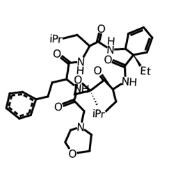 CC[C@]1(C(=O)NC(CC(C)C)C(=O)[C@@]2(C)CO2)C=CC=CC1NC(=O)C(CC(C)C)NC(=O)C(CCc1ccccc1)NC(=O)CN1CCOCC1